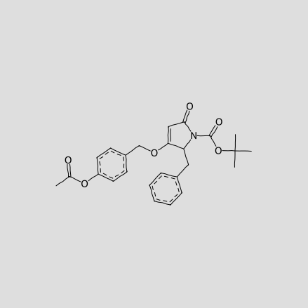 CC(=O)Oc1ccc(COC2=CC(=O)N(C(=O)OC(C)(C)C)C2Cc2ccccc2)cc1